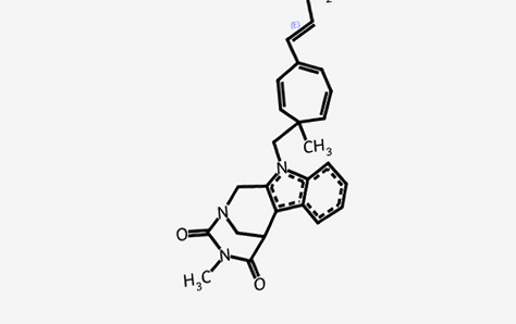 CN1C(=O)C2CN(Cc3c2c2ccccc2n3CC2(C)C=CC=C(/C=C/C(=O)O)C=C2)C1=O